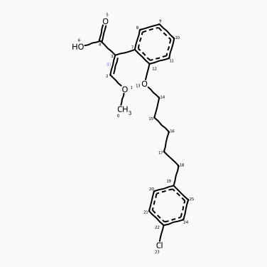 CO/C=C(/C(=O)O)c1ccccc1OCCCCCc1ccc(Cl)cc1